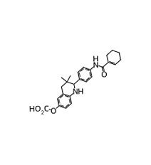 CC1(C)Cc2cc(OC(=O)O)ccc2NC1c1ccc(NC(=O)C2=CCCCC2)cc1